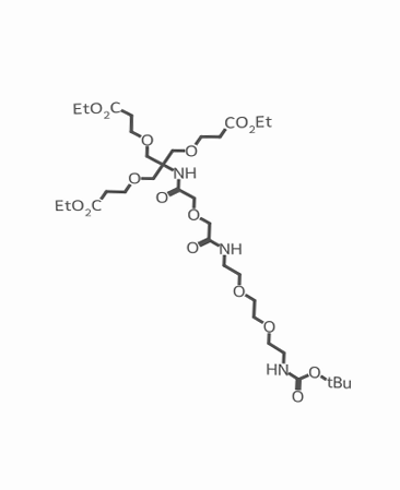 CCOC(=O)CCOCC(COCCC(=O)OCC)(COCCC(=O)OCC)NC(=O)COCC(=O)NCCOCCOCCNC(=O)OC(C)(C)C